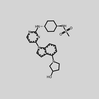 CS(=O)(=O)N[C@H]1CC[C@H](Nc2nccc(-n3ccc4c(N5CCC(O)C5)cccc43)n2)CC1